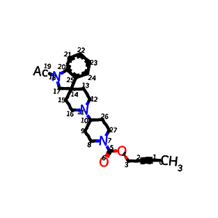 CC#CCOC(=O)N1CCC(N2CCC3(CC2)CN(C(C)=O)c2ccccc23)CC1